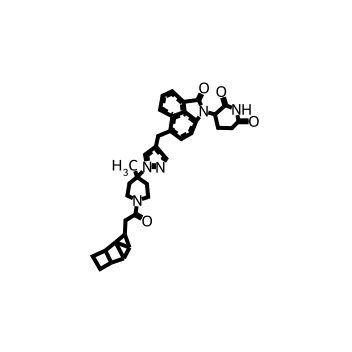 CC1(n2cc(Cc3ccc4c5c(cccc35)C(=O)N4C3CCC(=O)NC3=O)cn2)CCN(C(=O)CC2C3C4C5CCC5C243)CC1